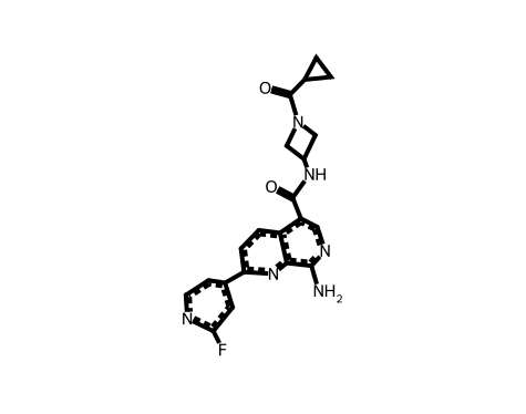 Nc1ncc(C(=O)NC2CN(C(=O)C3CC3)C2)c2ccc(-c3ccnc(F)c3)nc12